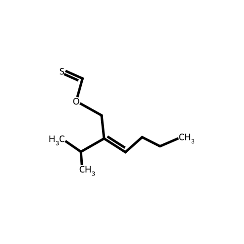 CCCC=C(COC=S)C(C)C